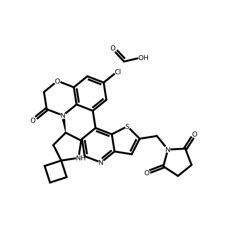 O=C1CCC(=O)N1Cc1cc2nccc(-c3cc(Cl)cc4c3N([C@H]3CNC5(CCC5)C3)C(=O)CO4)c2s1.O=CO